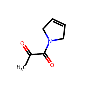 CC(=O)C(=O)N1CC=CC1